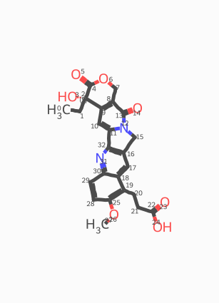 CC[C@@]1(O)C(=O)OCc2c1cc1n(c2=O)Cc2cc3c(CCC(=O)O)c(OC)ccc3nc2-1